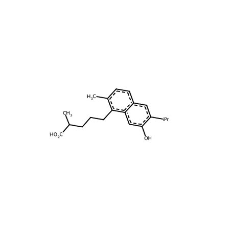 Cc1ccc2cc(C(C)C)c(O)cc2c1CCCC(C)C(=O)O